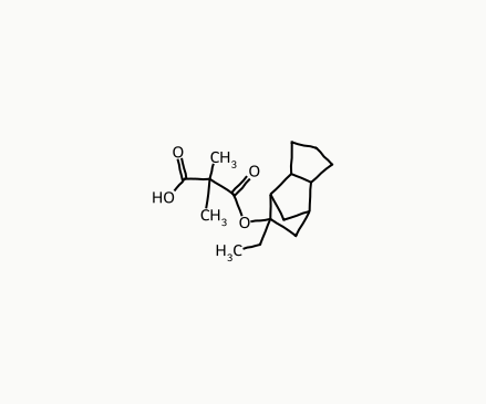 CCC1(OC(=O)C(C)(C)C(=O)O)CC2CC1C1CCCC21